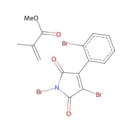 C=C(C)C(=O)OC.O=C1C(Br)=C(c2ccccc2Br)C(=O)N1Br